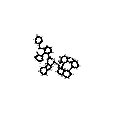 Cc1ccccc1-c1c(-c2nc(-n3c4ccc5cccc6c5c4c4c5c(ccc43)sc3cccc-6c35)c3oc4ccccc4c3n2)cccc1C(C)c1ccccc1